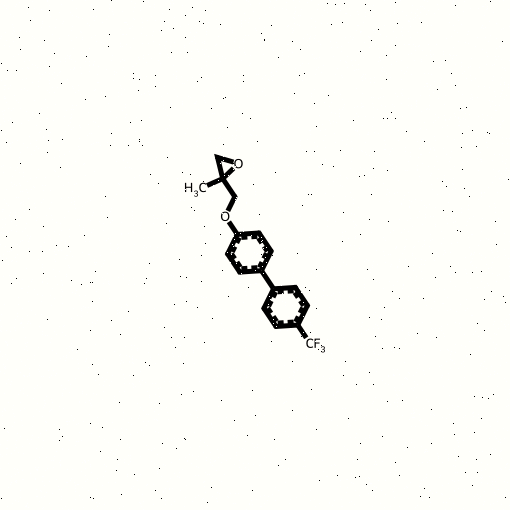 CC1(COc2ccc(-c3ccc(C(F)(F)F)cc3)cc2)CO1